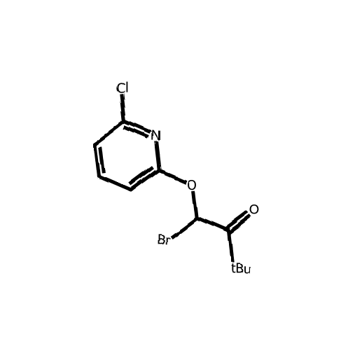 CC(C)(C)C(=O)C(Br)Oc1cccc(Cl)n1